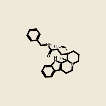 CC[C@]1(CCC(=O)NCc2ccccc2)CCCN2CCc3c([nH]c4ccccc34)[C@@H]21